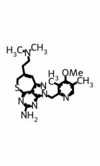 COc1c(C)cnc(Cn2nc3c4c(nc(N)nc42)SCC(CCN(C)C)=C3)c1C